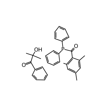 CC(C)(O)C(=O)c1ccccc1.Cc1cc(C)c(C(=O)P(c2ccccc2)c2ccccc2)c(C)c1